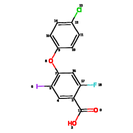 O=C(O)c1cc(I)c(Oc2ccc(Cl)cc2)cc1F